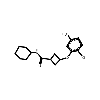 Cc1ccc(Cl)c(OC2CC(C(=O)NC3CCCCC3)C2)c1